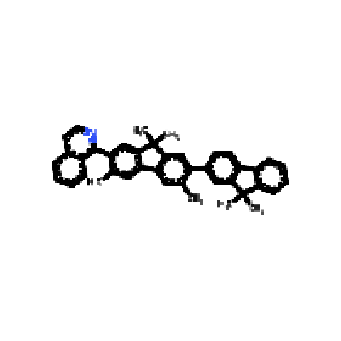 Cc1cc2c(cc1-c1ccc3c(c1)C(C)(C)c1ccccc1-3)C(C)(C)c1cc(-c3nccc4ccccc34)c(C)cc1-2